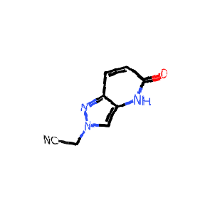 N#CCn1cc2[nH]c(=O)ccc2n1